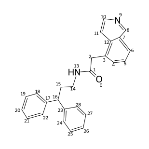 O=C(Cc1cccc2cnccc12)NCCC(c1ccccc1)c1ccccc1